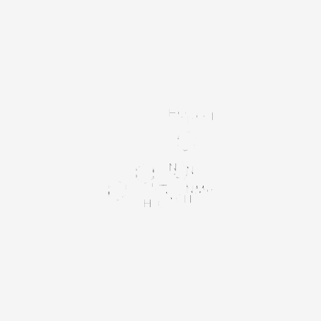 CNc1nc(-c2ccc(P(O)O)cc2)n(Cc2ccc(-c3ccccc3)cc2)c1C(=O)N(C)C